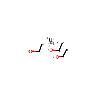 CC[O-].CC[O-].CC[O-].[Li+].[Li+].[Li+]